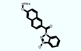 CCCCCCOc1ccc2cc(C(=O)n3n[n+]([O-])c4ccccc43)ccc2c1